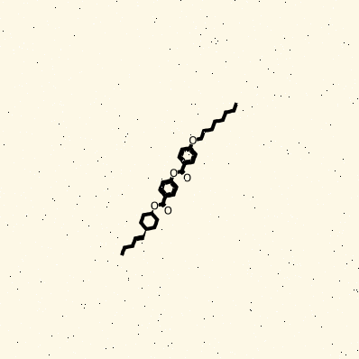 CCCC=C[C@H]1CC[C@H](OC(=O)c2ccc(OC(=O)c3ccc(OCCCCCCCC)cc3)cc2)CC1